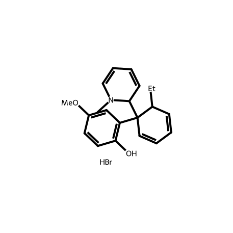 Br.CCC1C=CC=CC1(c1cc(OC)ccc1O)C1C=CC=CN1C